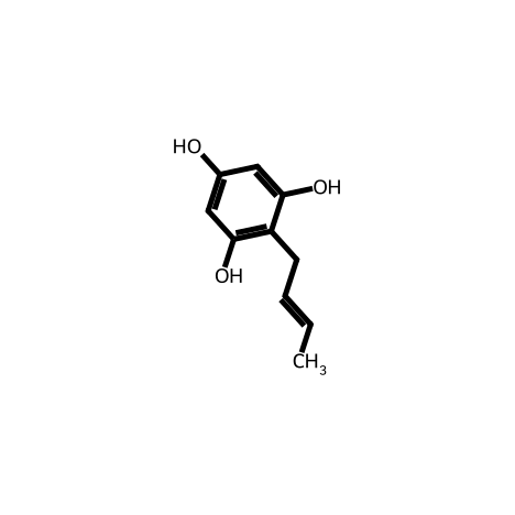 CC=CCc1c(O)cc(O)cc1O